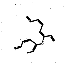 C=C/C=C\C=C(/C=C)OC(/C=C\C=C)=C/C